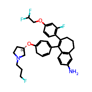 Nc1ccc2c(c1)CCCC(c1ccc(OCC(F)F)cc1F)=C2C1=CC=C(O[C@H]2CCN(CCCF)C2)CC=C1